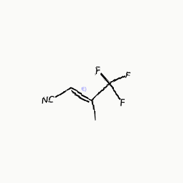 C/C(=C\C#N)C(F)(F)F